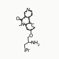 CC(C)C[C@H](N)COc1ccc2c3ccncc3c(=O)n(C)c2c1